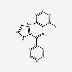 COc1cccc(C)c1N=C(c1ccccc1)c1cccs1